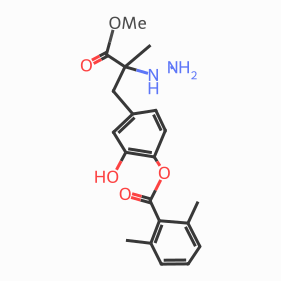 COC(=O)C(C)(Cc1ccc(OC(=O)c2c(C)cccc2C)c(O)c1)NN